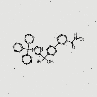 CCNC(=O)c1cccc(-c2ccc(C(O)(c3cn(C(c4ccccc4)(c4ccccc4)c4ccccc4)cn3)C(C)C)cc2)c1